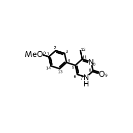 COc1ccc(-c2c[nH]c(=O)nc2C)cc1